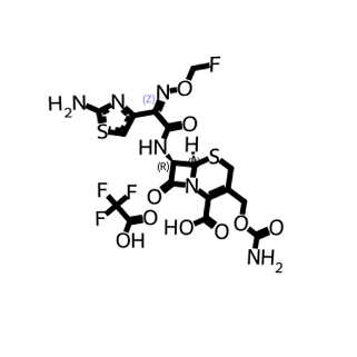 NC(=O)OCC1=C(C(=O)O)N2C(=O)[C@@H](NC(=O)/C(=N\OCF)c3csc(N)n3)[C@H]2SC1.O=C(O)C(F)(F)F